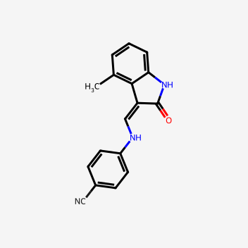 Cc1cccc2c1/C(=C/Nc1ccc(C#N)cc1)C(=O)N2